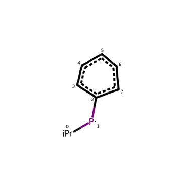 CC(C)[P]c1ccccc1